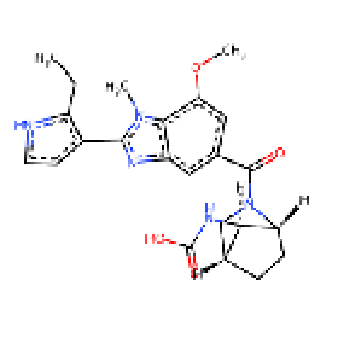 CCc1[nH]ccc1-c1nc2cc(C(=O)N3C[C@H]4CC[C@@H]3[C@@H]4NC(=O)O)cc(OC)c2n1C